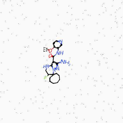 CCOc1ccncc1NC(=O)c1c(N)nn2c1NCC(F)C21CCCCCCC1